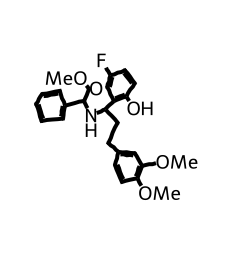 COC(=O)C(NC(CCc1ccc(OC)c(OC)c1)c1cc(F)ccc1O)c1ccccc1